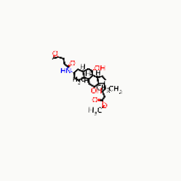 COC(=O)CC[C@@H](C)[C@H]1CC[C@H]2[C@@H]3[C@H](O)C[C@@H]4C[C@@H](NC(=O)CCC5CO5)CC[C@]4(C)[C@H]3C[C@H](O)[C@]12C